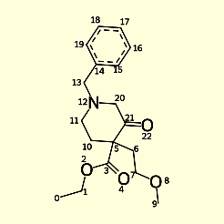 CCOC(=O)C1(CCOC)CCN(Cc2ccccc2)CC1=O